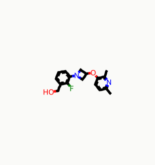 Cc1ccc(OC2CN(c3cccc(CO)c3F)C2)c(C)n1